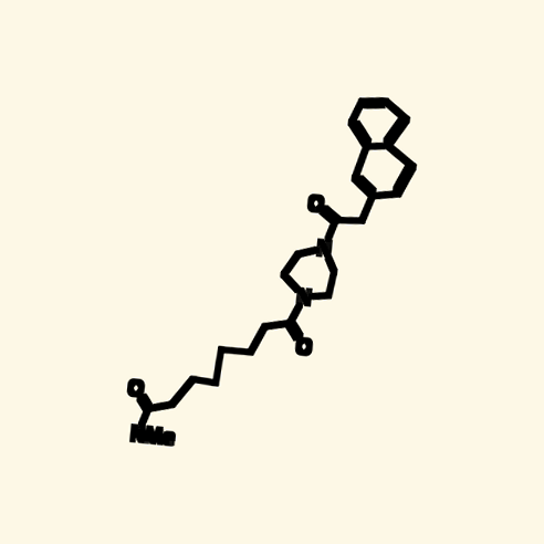 CNC(=O)CCCCCCC(=O)N1CCN(C(=O)Cc2ccc3ccccc3c2)CC1